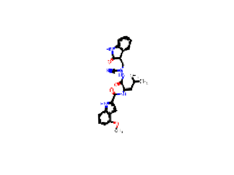 COc1cccc2[nH]c(C(=O)NC(CC(C)C)C(=O)NN(C#N)CC3C(=O)Nc4ccccc43)cc12